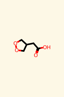 O=C(O)CC1COOC1